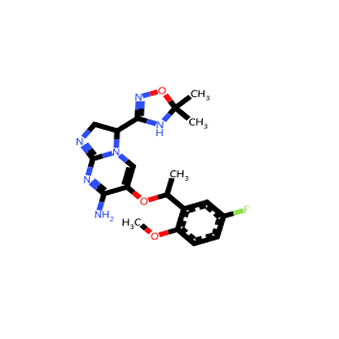 COc1ccc(F)cc1C(C)OC1=CN2C(=NCC2C2=NOC(C)(C)N2)N=C1N